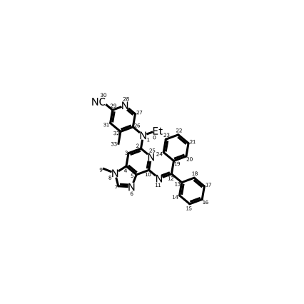 CCN(c1cc2c(ncn2C)c(N=C(c2ccccc2)c2ccccc2)n1)c1cnc(C#N)cc1C